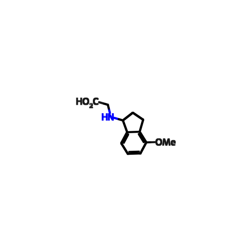 COc1cccc2c1CCC2NCC(=O)O